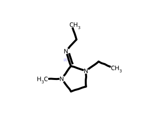 CC/N=C1/N(C)CCN1CC